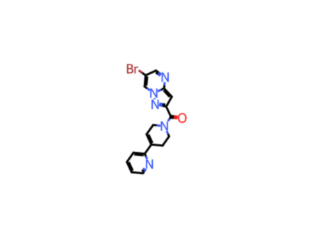 O=C(c1cc2ncc(Br)cn2n1)N1CC=C(c2ccccn2)CC1